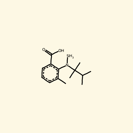 Cc1cccc(C(=O)O)c1N([SiH3])C(C)(C)C(C)C